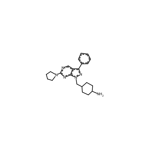 NC1CCC(Cn2nc(-c3ccccc3)c3cnc(N4CCCC4)nc32)CC1